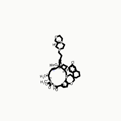 CO[C@@]1(C#CCCN2CCN3CCOC[C@@H]3C2)/C=C/C[C@H](C)[C@@H](C)S(=O)(=O)NC(=O)c2ccc3c(c2)N(C[C@@H]2CC[C@H]21)CC1(CCCc2cc(Cl)ccc21)CO3